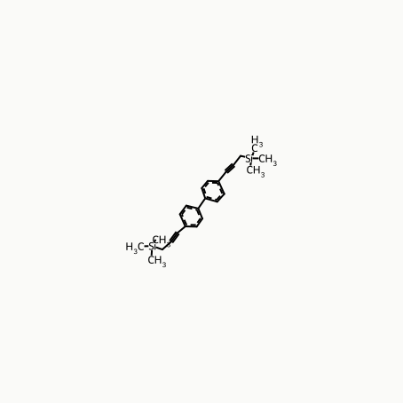 C[Si](C)(C)CC#Cc1ccc(-c2ccc(C#CC[Si](C)(C)C)cc2)cc1